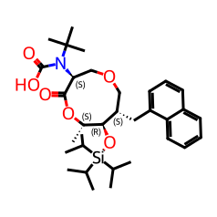 CC(C)[Si](O[C@@H]1[C@@H](Cc2cccc3ccccc23)COC[C@H](N(C(=O)O)C(C)(C)C)C(=O)O[C@H]1C)(C(C)C)C(C)C